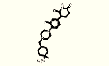 CC1(N)CCC(CN2CCN(c3ccc(C4CCC(=O)NC4=O)cc3F)CC2)CC1